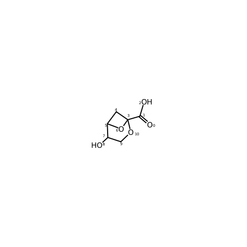 O=C(O)C12CC(O1)C(O)CO2